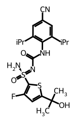 CC(C)c1cc(C#N)cc(C(C)C)c1NC(=O)N=[S@@](N)(=O)c1sc(C(C)(C)O)cc1F